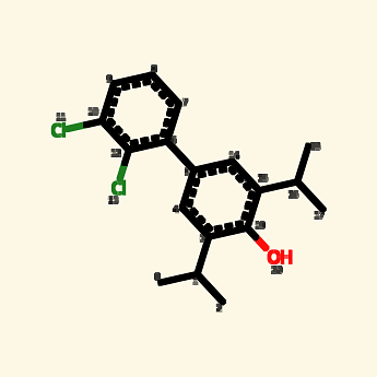 CC(C)c1cc(-c2cccc(Cl)c2Cl)cc(C(C)C)c1O